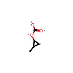 CC1CC1OC([O])=O